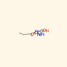 CCCCCCCCCCCOC1=CN=C(c2ccc(O)cc2)C(=N)C1